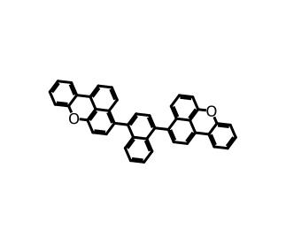 c1ccc2c(c1)Oc1ccc(-c3ccc(-c4ccc5c6c(cccc46)Oc4ccccc4-5)c4ccccc34)c3cccc-2c13